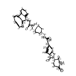 O=C(Cn1c2ccccc2c2cccnc21)NC[C@H]1CC[C@H](CNC(=O)c2ccc3c(c2)CN(C2CCC(=O)NC2=O)C3=O)CC1